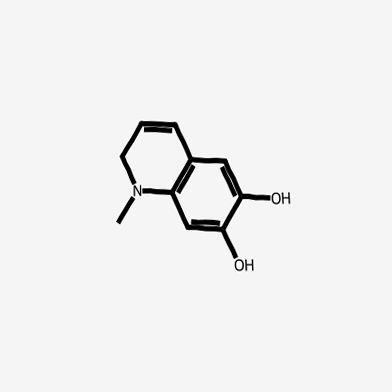 CN1CC=Cc2cc(O)c(O)cc21